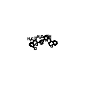 Cc1cnc(NC2CCOc3ccccc32)nc1-n1cnc(C(=O)N[C@H](C)c2cccc(Cl)c2)c1